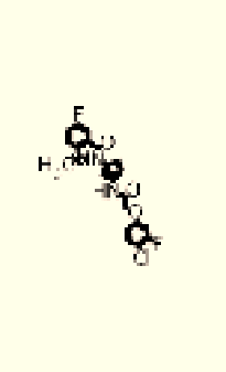 COc1ccc(F)cc1C(=O)NC12CC(C1)C(NC(=O)COc1ccc(Cl)c(F)c1)C2